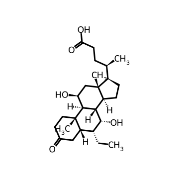 CC[C@H]1[C@@H](O)[C@@H]2[C@H]([C@@H](O)C[C@]3(C)[C@@H]([C@H](C)CCC(=O)O)CC[C@@H]23)[C@@]2(C)CCC(=O)C[C@@H]12